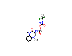 CC(=O)N1C[C@H](NC(=O)[C@H](C)OC(=O)NCC(F)(F)C(F)(F)F)C(=O)N(C)c2ccccc21